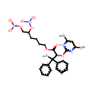 COc1cc(OC)nc(O[C@H](C(=O)OCCCCC(CON(O)O)ON(O)O)C(OC)(c2ccccc2)c2ccccc2)n1